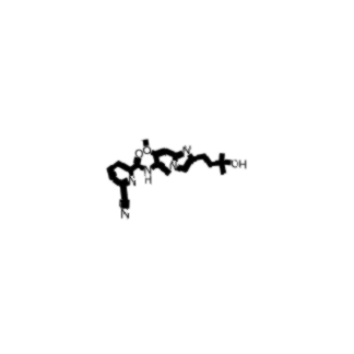 COc1cc2nc(CCC(C)(C)O)cn2cc1NC(=O)c1cccc(C#N)n1